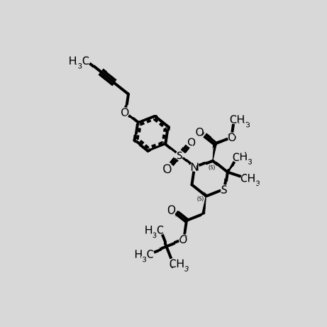 CC#CCOc1ccc(S(=O)(=O)N2C[C@H](CC(=O)OC(C)(C)C)SC(C)(C)[C@@H]2C(=O)OC)cc1